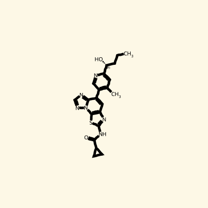 CCC[C@@H](O)c1cc(C)c(-c2cc3nc(NC(=O)C4CC4)sc3n3ncnc23)cn1